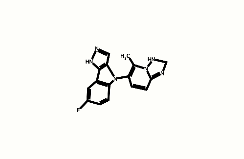 CC1=C(n2c3ccc(F)cc3c3[nH]ncc32)C=CC2=NCNN21